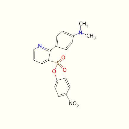 CN(C)c1ccc(-c2ncccc2S(=O)(=O)Oc2ccc([N+](=O)[O-])cc2)cc1